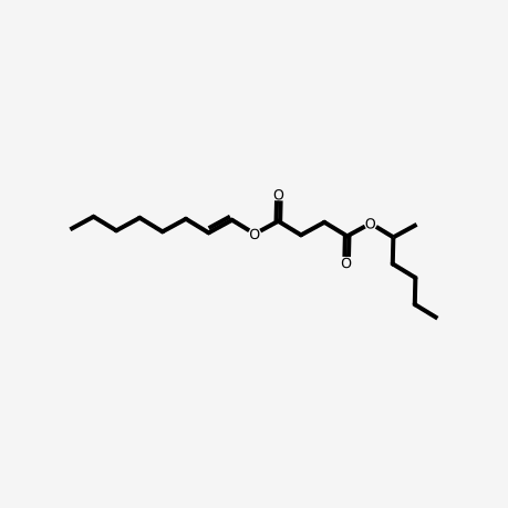 CCCCCCC=COC(=O)CCC(=O)OC(C)CCCC